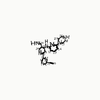 C#Cc1cncc(-c2cc(Nc3cccc(N4CCNCC4)n3)c(C=N)cn2)n1